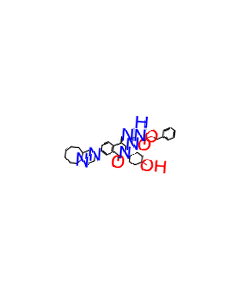 O=C(Nc1ncc2c3ccc(N4CCN5CCCCCCC5C4)cc3c(=O)n(C3CCC(O)CC3)c2n1)OCc1ccccc1